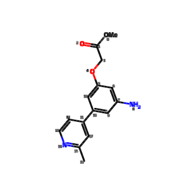 COC(=O)COc1cc(N)cc(-c2ccnc(C)c2)c1